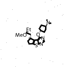 CC[C@@H](C[C@H]1CCc2sc3ncnc(O[C@H]4CC[C@H](N(C)C)CC4)c3c21)OC